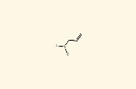 C=CCB(Cl)Cl